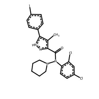 Cc1c(C(=O)N(c2ccc(Cl)cc2Cl)N2CCCCC2)n[nH]c1-c1ccc(I)cc1